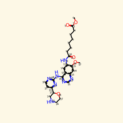 COC(=O)CCCCCCC(=O)Nc1cc2c(Nc3nccc(C4CNCCO4)n3)ncnc2cc1OC